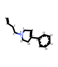 C=CCCN1CC=C(c2ccccc2)CC1